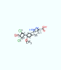 COc1cc2c(cc1-c1cc(Cl)c(Br)c(Cl)c1)-c1[nH]nc(C(=O)O)c1CC2